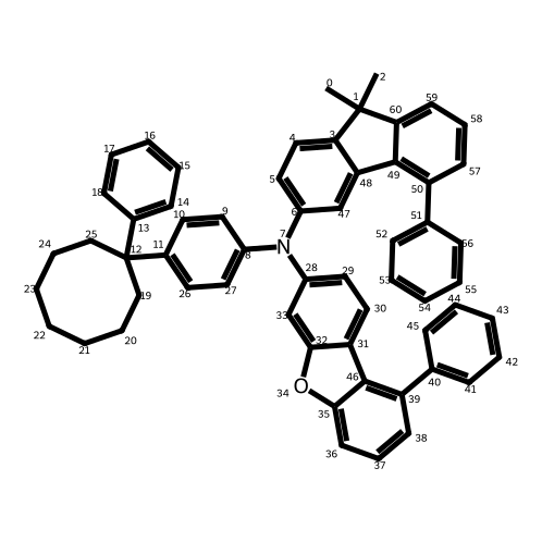 CC1(C)c2ccc(N(c3ccc(C4(c5ccccc5)CCCCCCC4)cc3)c3ccc4c(c3)oc3cccc(-c5ccccc5)c34)cc2-c2c(-c3ccccc3)cccc21